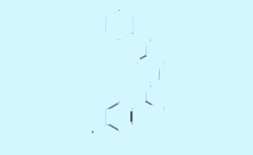 CC(OC(=O)OC1CCCCC1)OC(=O)c1ccc(C(C)(C)C)cc1